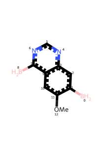 Bc1cc2ncnc(B)c2cc1OC